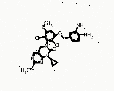 COc1cc(OCc2ccc(N)c(N)c2)c(Cl)c(N2Cc3cnc(SC)nc3N(C3CC3)C2=O)c1Cl